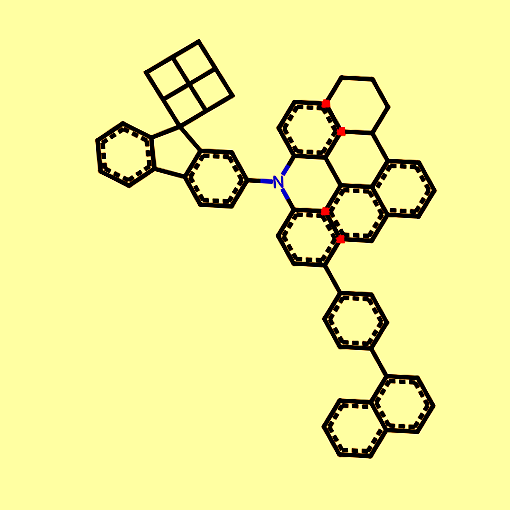 c1ccc(N(c2ccc(-c3ccc(-c4cccc5ccccc45)cc3)cc2)c2ccc3c(c2)C2(c4ccccc4-3)C3CC4CC5CC2C453)c(-c2cccc3cccc(C4CCCCC4)c23)c1